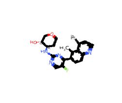 Cc1c(-c2nc(N[C@@H]3CCOC[C@H]3O)ncc2F)ccc2nccc(C(C)C)c12